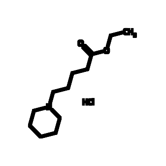 CCOC(=O)CCCCN1CCCCC1.Cl